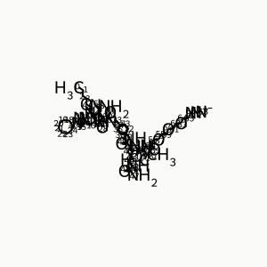 CCCCOc1nc(N)c2c(n1)n(Cc1cn(C3CCCCCCC3)nn1)c(=O)n2C(=O)NCc1ccc(NC(=O)C(CCCNC(N)=O)NC(=O)C(NC(=O)COCCOCCOCCN=[N+]=[N-])C(C)C)cc1